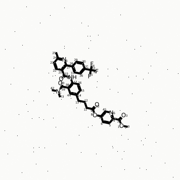 COC(=O)c1ccc(OC(=O)CCCc2ccc(NC(=O)c3ccc(C)nc3-c3ccc(C(F)(F)F)cc3)c(C(=O)N(C)C)c2)cn1